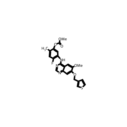 COC(=O)Oc1cc(Nc2ncnc3cc(OCc4ccsc4)c(OC)cc23)c(F)cc1C